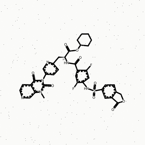 Cn1c(=O)n(-c2ccc(C[C@H](NC(=O)c3cc(F)c(NS(=O)(=O)c4ccc5c(c4)C(=O)OC5)cc3F)C(=O)OC3CCCCC3)nc2)c(=O)c2ccncc21